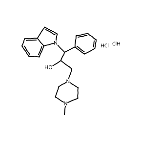 CN1CCN(CC(O)C(c2ccccc2)n2ccc3ccccc32)CC1.Cl.Cl